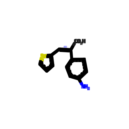 Nc1ccc(/C(=C\c2cccs2)C(=O)O)cc1